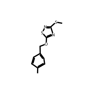 CSc1nsc(OCc2ccc(C)cc2)n1